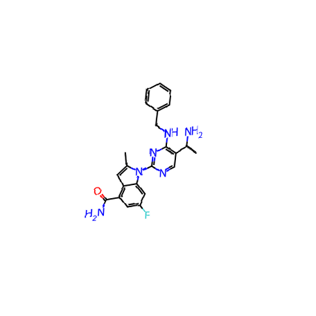 Cc1cc2c(C(N)=O)cc(F)cc2n1-c1ncc(C(C)N)c(NCc2ccccc2)n1